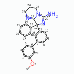 COc1cccc(-c2cccc(C3(c4ccccc4)N=C(N)N4CCCN=C43)c2)c1